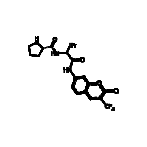 CC(C)[C@H](NC(=O)[C@@H]1CCCN1)C(=O)Nc1ccc2cc(C(F)(F)F)c(=O)oc2c1